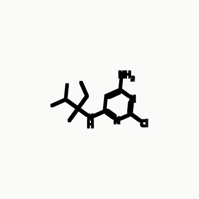 CCC(C)(Nc1cc(N)nc(Cl)n1)C(C)C